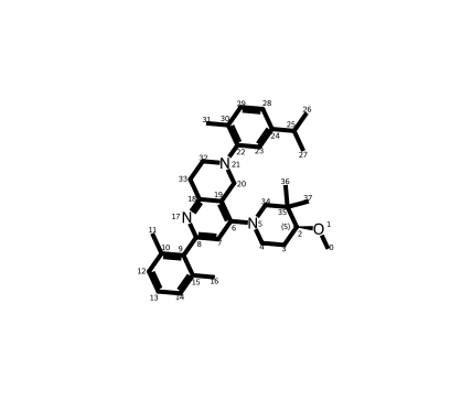 CO[C@H]1CCN(c2cc(-c3c(C)cccc3C)nc3c2CN(c2cc(C(C)C)ccc2C)CC3)CC1(C)C